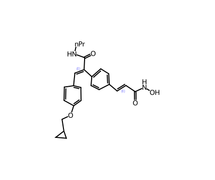 CCCNC(=O)/C(=C/c1ccc(OCC2CC2)cc1)c1ccc(/C=C/C(=O)NO)cc1